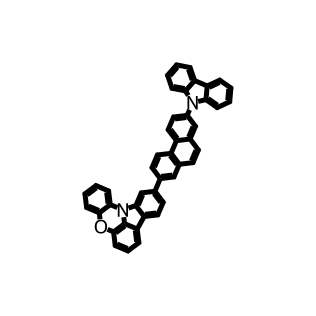 c1ccc2c(c1)Oc1cccc3c4ccc(-c5ccc6c(ccc7cc(-n8c9ccccc9c9ccccc98)ccc76)c5)cc4n-2c13